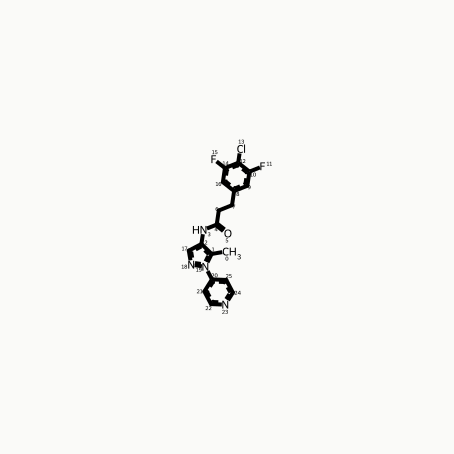 Cc1c(NC(=O)CCc2cc(F)c(Cl)c(F)c2)cnn1-c1ccncc1